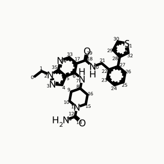 CCn1ncc2c(NC3CCN(C(N)=O)CC3)c(C(=O)NCc3ccccc3-c3ccsc3)cnc21